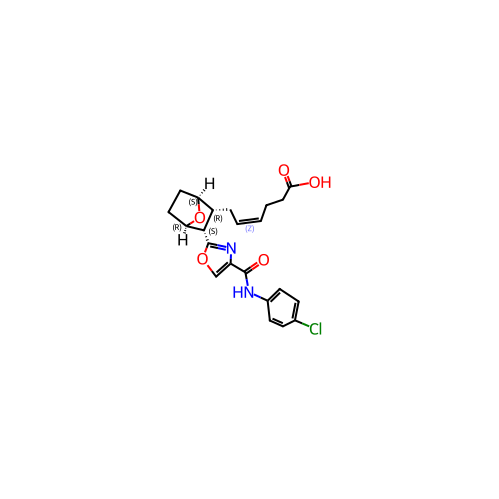 O=C(O)CC/C=C\C[C@@H]1[C@H](c2nc(C(=O)Nc3ccc(Cl)cc3)co2)[C@H]2CC[C@@H]1O2